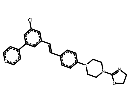 Clc1cc(C=Cc2ccc(N3CCN(C4=NCCO4)CC3)cc2)cc(-c2ccncc2)c1